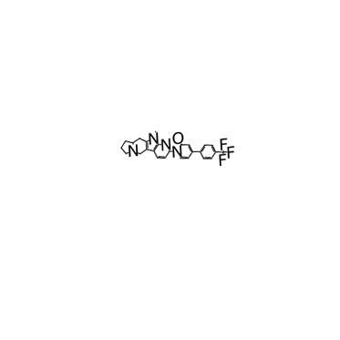 Cn1c2c(c3ccc(-n4ccc(-c5ccc(C(F)(F)F)cc5)cc4=O)nc31)CN1CCCC1C2